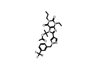 CCCn1c(=O)c2c(nc(-c3cnn(Cc4cccc(C(F)(F)F)c4)c3)n2C(C)(C)OC(C)=O)n(CC)c1=O